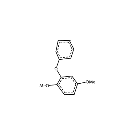 COc1ccc(OC)c(Oc2cc[c]cc2)c1